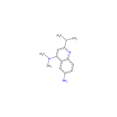 CC(C)c1cc(N(C)C)c2cc(N)ccc2n1